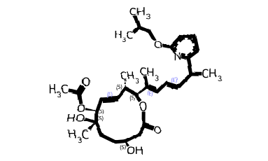 CC(=O)O[C@H]1/C=C/[C@H](C)[C@@H](/C(C)=C/C=C/C(C)c2cccc(OCC(C)C)n2)OC(=O)C[C@@H](O)CC[C@]1(C)O